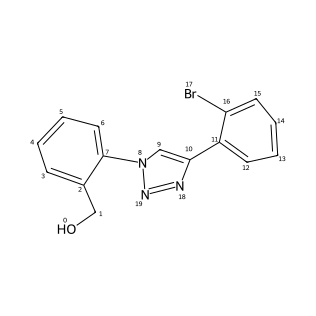 OCc1ccccc1-n1cc(-c2ccccc2Br)nn1